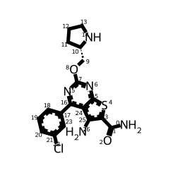 NC(=O)c1sc2nc(OC[C@@H]3CCCN3)nc(-c3cccc(Cl)c3)c2c1N